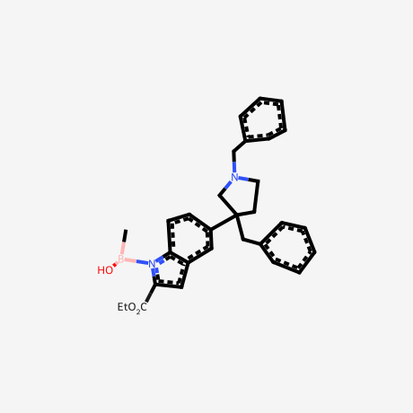 CCOC(=O)c1cc2cc(C3(Cc4ccccc4)CCN(Cc4ccccc4)C3)ccc2n1B(C)O